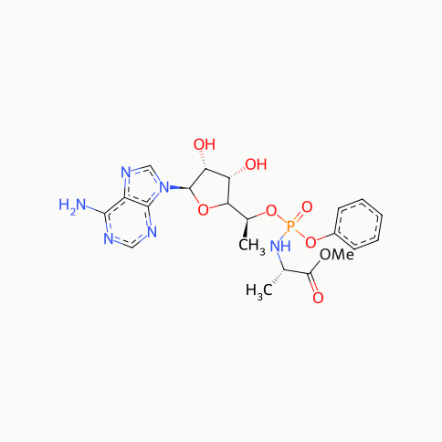 COC(=O)[C@H](C)NP(=O)(Oc1ccccc1)O[C@@H](C)C1O[C@@H](n2cnc3c(N)ncnc32)[C@H](O)[C@@H]1O